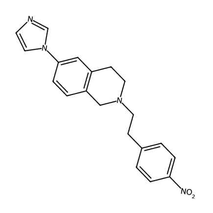 O=[N+]([O-])c1ccc(CCN2CCc3cc(-n4ccnc4)ccc3C2)cc1